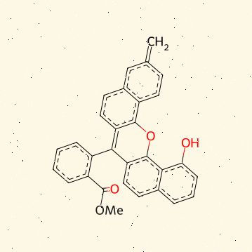 C=c1ccc2c3c(ccc2c1)=C(c1ccccc1C(=O)OC)c1ccc2cccc(O)c2c1O3